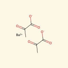 CC(=O)C(=O)[O-].CC(=O)C(=O)[O-].[Ba+2]